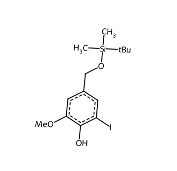 COc1cc(CO[Si](C)(C)C(C)(C)C)cc(I)c1O